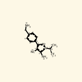 C[C@H](n1nc(-c2ccc(CN)cc2)c(C#N)c1N)C(F)(F)F